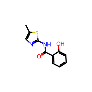 Cc1cnc(NC(=O)c2ccccc2O)s1